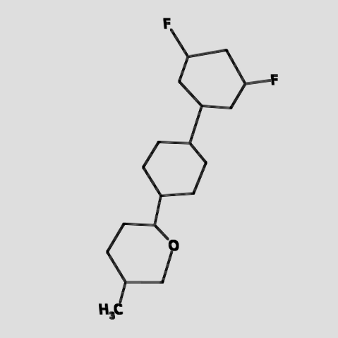 CC1CCC(C2CCC(C3CC(F)CC(F)C3)CC2)OC1